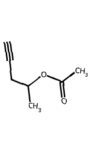 [C]#CCC(C)OC(C)=O